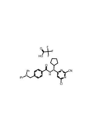 CC(C)N(Cc1ccc(C(=O)NN(c2cc(Cl)nc(C#N)n2)C2CCCC2)cc1)C(C)C.O=C(O)C(F)(F)F